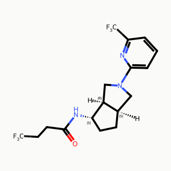 O=C(CCC(F)(F)F)N[C@H]1CC[C@@H]2CN(c3cccc(C(F)(F)F)n3)C[C@@H]21